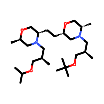 CC(C)OC[C@H](C)CN1C[C@@H](C)OC[C@@H]1CC[C@H]1CN(C[C@@H](C)COC(C)(C)C)[C@@H](C)CO1